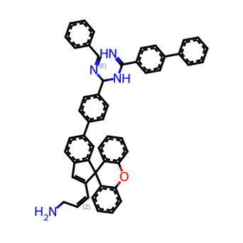 N=C(NC(/N=C/c1ccccc1)c1ccc(-c2ccc3c(c2)C2(C(/C=C\CN)=C3)c3ccccc3Oc3ccccc32)cc1)c1ccc(-c2ccccc2)cc1